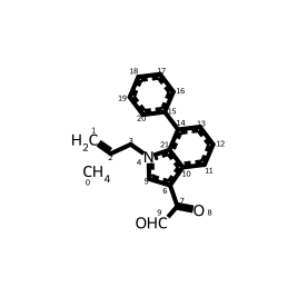 C.C=CCn1cc(C(=O)C=O)c2cccc(-c3ccccc3)c21